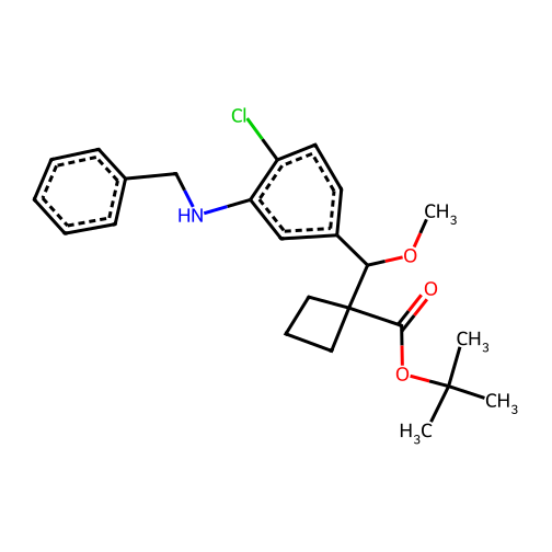 COC(c1ccc(Cl)c(NCc2ccccc2)c1)C1(C(=O)OC(C)(C)C)CCC1